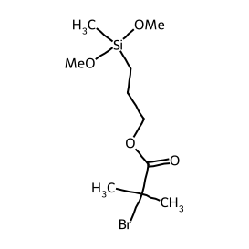 CO[Si](C)(CCCOC(=O)C(C)(C)Br)OC